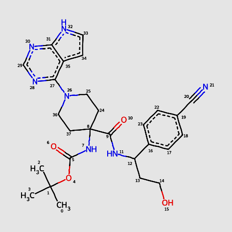 CC(C)(C)OC(=O)NC1(C(=O)NC(CCO)c2ccc(C#N)cc2)CCN(c2ncnc3[nH]ccc23)CC1